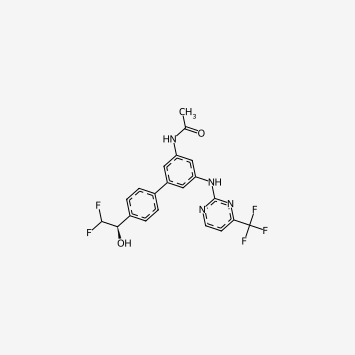 CC(=O)Nc1cc(Nc2nccc(C(F)(F)F)n2)cc(-c2ccc([C@@H](O)C(F)F)cc2)c1